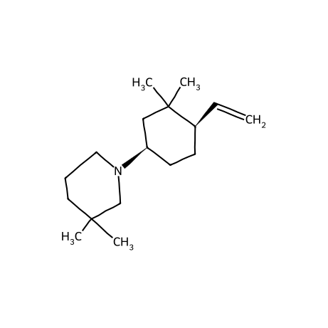 C=C[C@H]1CC[C@@H](N2CCCC(C)(C)C2)CC1(C)C